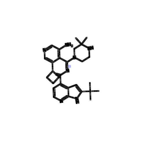 C=C(/N=C(\c1c(N)cncc1C1CCC1)N1CCNC(C)(C)C1)c1ccnc2[nH]c(C(C)(C)C)cc12